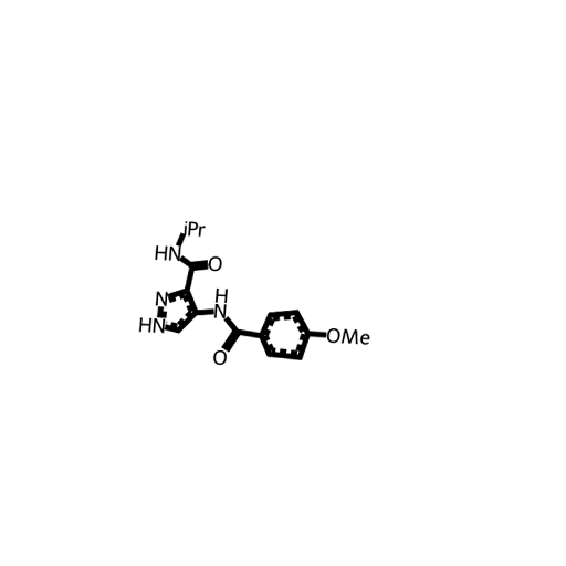 COc1ccc(C(=O)Nc2c[nH]nc2C(=O)NC(C)C)cc1